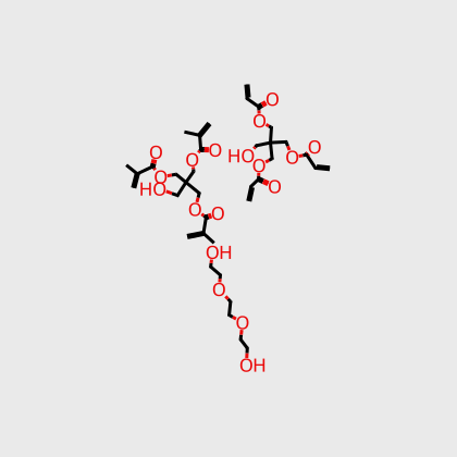 C=C(C)C(=O)OCC(CO)(COC(=O)C(=C)C)COC(=O)C(=C)C.C=CC(=O)OCC(CO)(COC(=O)C=C)COC(=O)C=C.OCCOCCOCCO